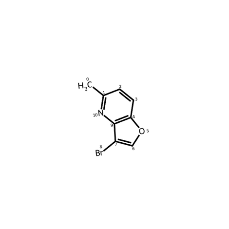 Cc1ccc2occ(Br)c2n1